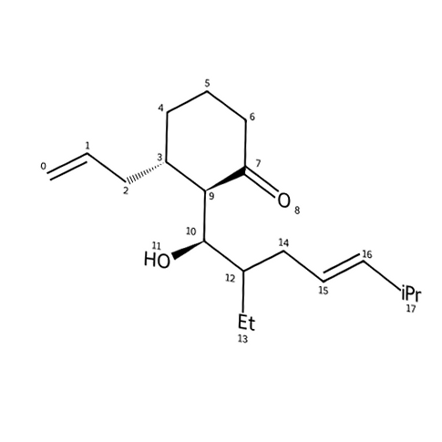 C=CC[C@@H]1CCCC(=O)[C@H]1[C@H](O)C(CC)C/C=C/C(C)C